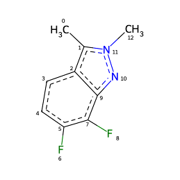 Cc1c2ccc(F)c(F)c2nn1C